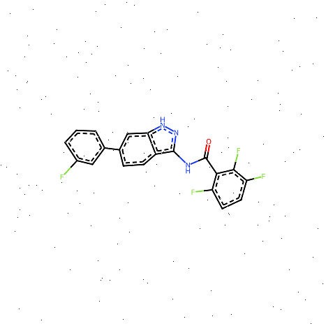 O=C(Nc1n[nH]c2cc(-c3cccc(F)c3)ccc12)c1c(F)ccc(F)c1F